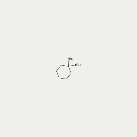 CC(C)(C)C1(C(C)(C)C)C[CH]CCC1